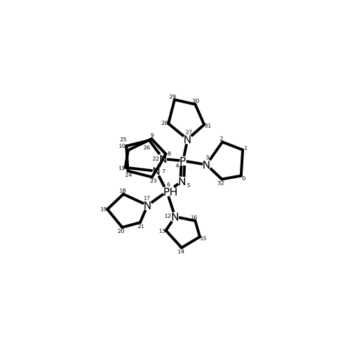 C1CCN(P(=N[PH](N2CCCC2)(N2CCCC2)N2CCCC2)(N2CCCC2)N2CCCC2)C1